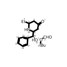 CC(C)(C)OC=O.CCC1CC(=O)CC([C@H](O)c2ccccc2)N1